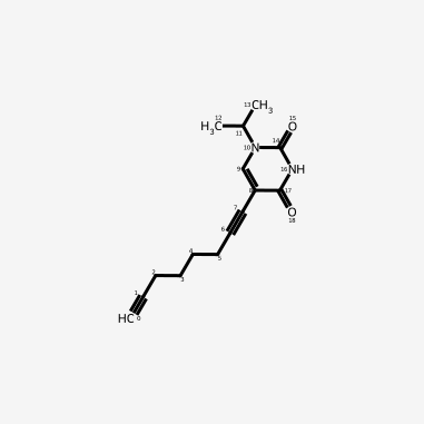 C#CCCCCC#Cc1cn(C(C)C)c(=O)[nH]c1=O